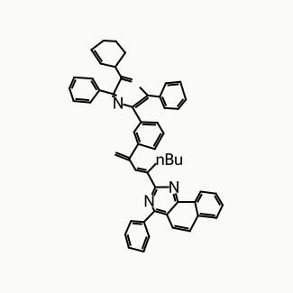 C=C(/C=C(\CCCC)c1nc(-c2ccccc2)c2ccc3ccccc3c2n1)c1cccc(C(/N=C(\C(=C)C2C=CCCC2)c2ccccc2)=C(/C)c2ccccc2)c1